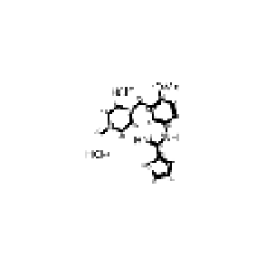 COc1ccc(NC(=N)c2cccs2)cc1CN1CCN(C)CC1.Cl.Cl